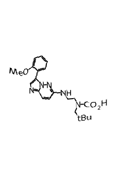 COc1ccccc1-c1cnc2ccc(NCCN(CC(C)(C)C)C(=O)O)nn12